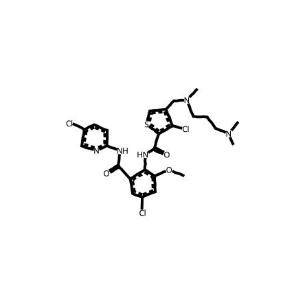 COc1cc(Cl)cc(C(=O)Nc2ccc(Cl)cn2)c1NC(=O)c1scc(CN(C)CCCN(C)C)c1Cl